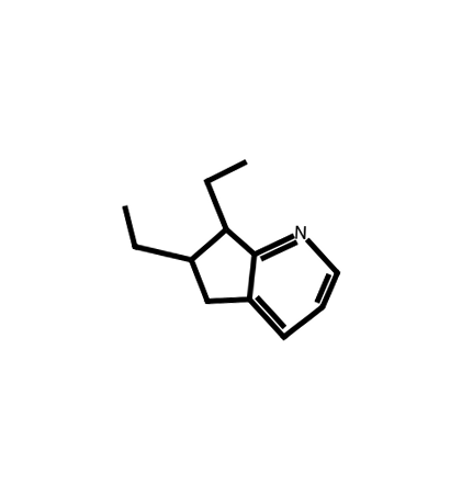 CCC1Cc2cccnc2C1CC